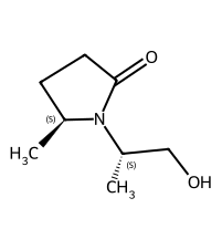 C[C@@H](CO)N1C(=O)CC[C@@H]1C